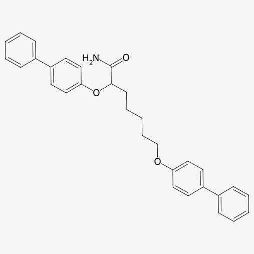 NC(=O)C(CCCCCOc1ccc(-c2ccccc2)cc1)Oc1ccc(-c2ccccc2)cc1